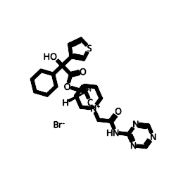 O=C(C[N+]12CCC(CC1)[C@@H](OC(=O)C(O)(c1ccsc1)C1CCCCC1)C2)Nc1ncncn1.[Br-]